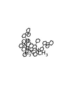 Cc1cccc(C)c1N(c1cccc(-c2cccc3c2oc2ccccc23)c1)c1cc(-c2ccccc2)c2ccc3c(N(c4cccc(-c5cccc6c5oc5ccccc56)c4)c4c(C)cccc4C)cc(-c4ccccc4)c4ccc1c2c43